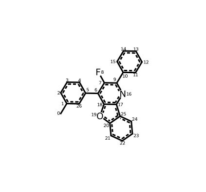 Cc1cccc(-c2c(F)c(-c3ccccc3)nc3c2oc2ccccc23)c1